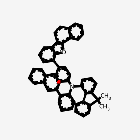 CC1(C)c2ccccc2-c2c(N(c3ccc(-c4cccc5c4oc4c6ccccc6ccc54)cc3)c3ccccc3-c3ccc4ccccc4c3)cccc21